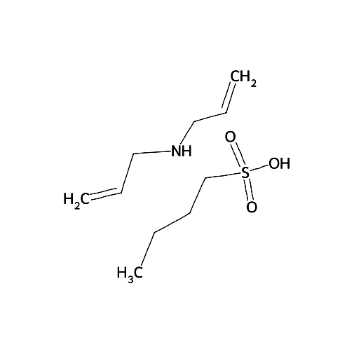 C=CCNCC=C.CCCCS(=O)(=O)O